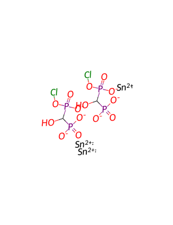 O=P([O-])([O-])C(O)P(=O)([O-])OCl.O=P([O-])([O-])C(O)P(=O)([O-])OCl.[Sn+2].[Sn+2].[Sn+2]